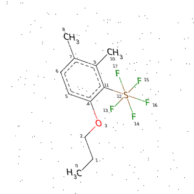 CCCOc1ccc(C)c(C)c1S(F)(F)(F)(F)F